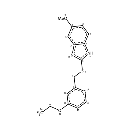 COc1ccc2[nH]c(SCc3cc(OCC(F)(F)F)ccn3)nc2c1